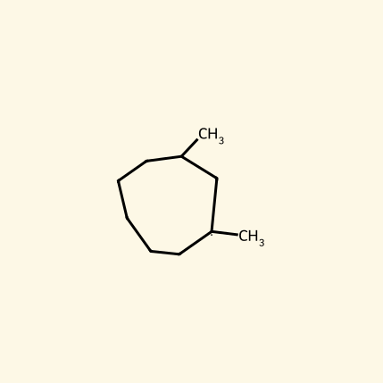 C[C]1CCCCCC(C)C1